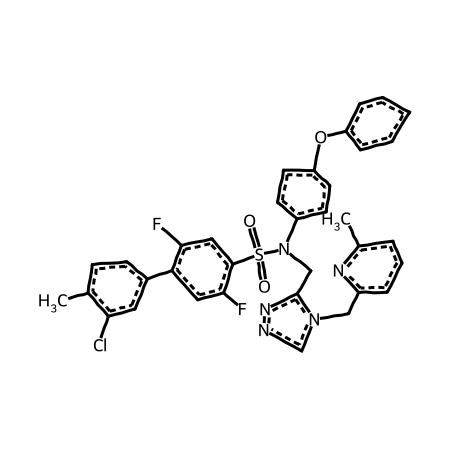 Cc1cccc(Cn2cnnc2CN(c2ccc(Oc3ccccc3)cc2)S(=O)(=O)c2cc(F)c(-c3ccc(C)c(Cl)c3)cc2F)n1